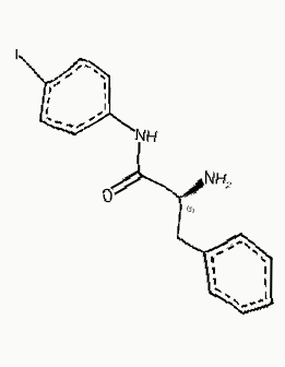 N[C@@H](Cc1ccccc1)C(=O)Nc1ccc(I)cc1